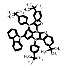 CC(C)(C)c1ccc(N2c3cc(-n4c5ccccc5c5ccccc54)cc4c3B(c3oc5ccc(C(C)(C)C)cc5c32)c2oc3ccc(C(C)(C)C)cc3c2N4c2ccc(C(C)(C)C)cc2)cc1